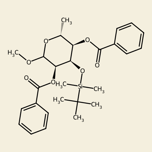 COC1O[C@H](C)[C@@H](OC(=O)c2ccccc2)[C@@H](O[Si](C)(C)C(C)(C)C)[C@H]1OC(=O)c1ccccc1